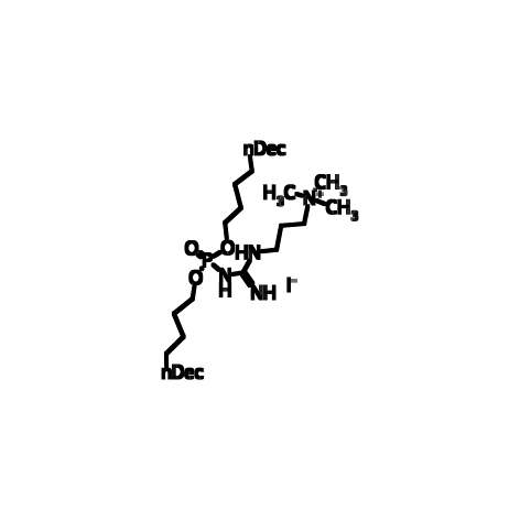 CCCCCCCCCCCCCCOP(=O)(NC(=N)NCCC[N+](C)(C)C)OCCCCCCCCCCCCCC.[I-]